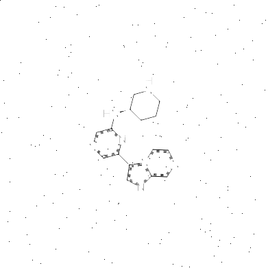 C[C@@H]1CC[C@@H](Nc2cncc(-c3cnc4cnccn34)n2)CN1